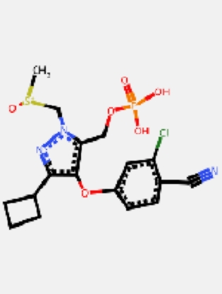 C[S+]([O-])Cn1nc(C2CCC2)c(Oc2ccc(C#N)c(Cl)c2)c1COP(=O)(O)O